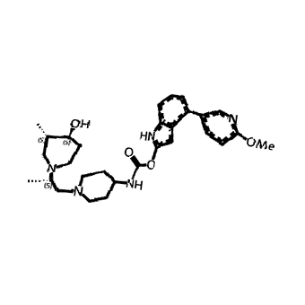 COc1ccc(-c2cccc3[nH]c(OC(=O)NC4CCN(C[C@H](C)N5CC[C@H](O)[C@@H](C)C5)CC4)cc23)cn1